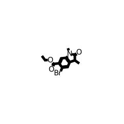 CCOC(=O)c1cc2c(cc1Br)C(C)C(=O)N2C